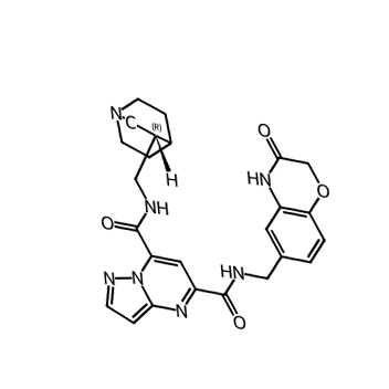 O=C1COc2ccc(CNC(=O)c3cc(C(=O)NC[C@@H]4CN5CCC4CC5)n4nccc4n3)cc2N1